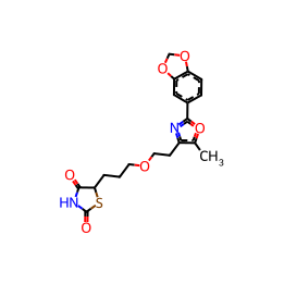 Cc1oc(-c2ccc3c(c2)OCO3)nc1CCOCCCC1SC(=O)NC1=O